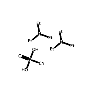 CCN(CC)CC.CCN(CC)CC.N#CP(=O)(O)O